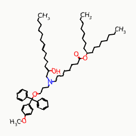 CCCCCCCCCCCCC(O)CN(CCCCCCCC(=O)OC(CCCCCCCC)CCCCCCCC)CCCOC(c1ccccc1)(c1ccccc1)c1ccc(OC)cc1